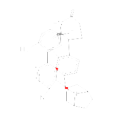 Nc1nnc(-c2cc(F)ccc2O)cc1N1CC2CCC(C1)N2Cc1ccc(C2CCC(=O)NC2=O)c(F)c1